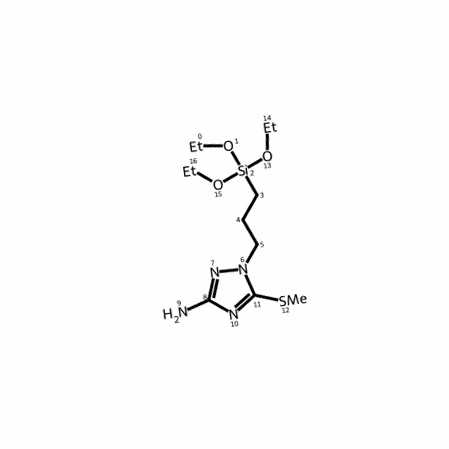 CCO[Si](CCCn1nc(N)nc1SC)(OCC)OCC